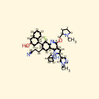 CN1CCCC1COc1nc2c(F)c(-c3cc(O)cc4ccccc34)c(CCC#N)cc2c2c1cc(-c1cnn(C)c1)n2C1C2CNC1C2